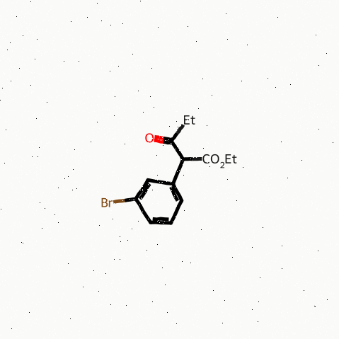 CCOC(=O)C(C(=O)CC)c1cccc(Br)c1